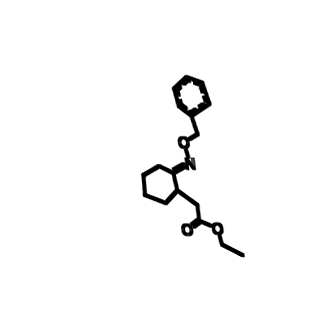 CCOC(=O)CC1CCCCC1=NOCc1ccccc1